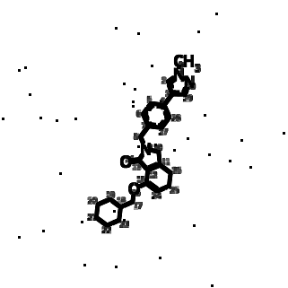 Cn1cc(-c2ccc(CN3CC4=C(C3=O)C(OCC3CCCCC3)=CCC4)cc2)cn1